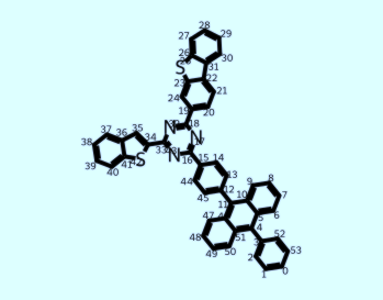 c1ccc(-c2c3ccccc3c(-c3ccc(-c4nc(-c5ccc6c(c5)sc5ccccc56)nc(-c5cc6ccccc6s5)n4)cc3)c3ccccc23)cc1